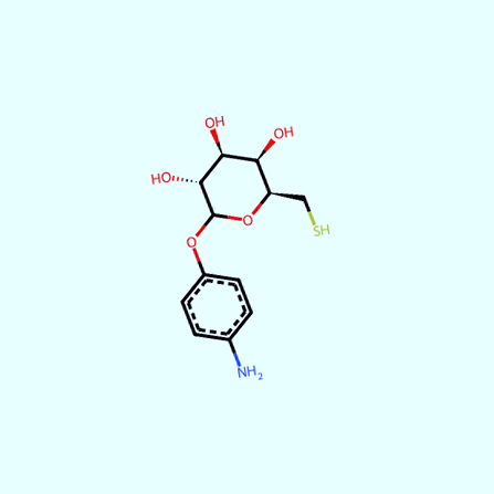 Nc1ccc(OC2O[C@H](CS)[C@H](O)[C@H](O)[C@H]2O)cc1